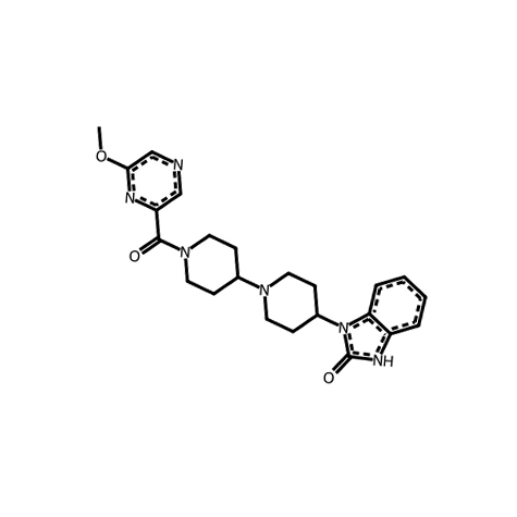 COc1cncc(C(=O)N2CCC(N3CCC(n4c(=O)[nH]c5ccccc54)CC3)CC2)n1